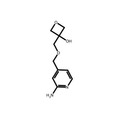 Nc1cc(COCC2(O)COC2)ccn1